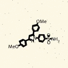 COc1ccc(-c2cc(-c3ccc(OC)cc3)n(-c3ccc(S(N)(=O)=O)cc3)n2)cc1